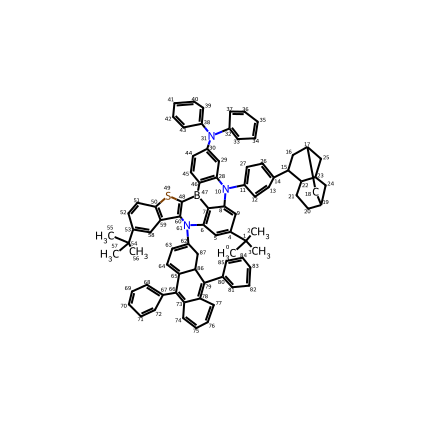 CC(C)(C)c1cc2c3c(c1)N(c1ccc(C4CC5CC6CCC4C(C6)C5)cc1)c1cc(N(c4ccccc4)c4ccccc4)ccc1B3c1sc3ccc(C(C)(C)C)cc3c1N2C1=CC=C2C(c3ccccc3)=c3ccccc3=C(c3ccccc3)C2C1